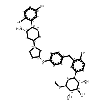 CS[C@H]1O[C@@H](c2ccc(Cl)c(Cc3ccc(O[C@@H]4CCN(C5CO[C@H](c6cc(F)ccc6F)[C@@H](N)C5)C4)cc3)c2)[C@H](O)[C@@H](O)[C@@H]1O